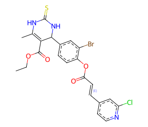 CCOC(=O)C1=C(C)NC(=S)NC1c1ccc(OC(=O)/C=C/c2ccnc(Cl)c2)c(Br)c1